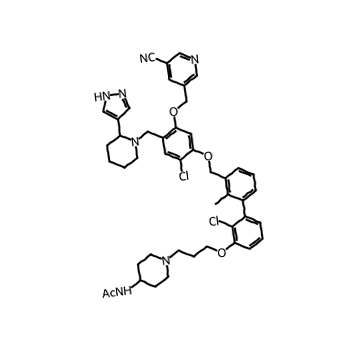 CC(=O)NC1CCN(CCCOc2cccc(-c3cccc(COc4cc(OCc5cncc(C#N)c5)c(CN5CCCCC5c5cn[nH]c5)cc4Cl)c3C)c2Cl)CC1